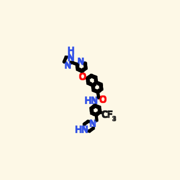 O=C(Nc1ccc(CN2CCNCC2)c(C(F)(F)F)c1)c1ccc2ccc(Oc3ccnc(C4=NCCN4)c3)cc2c1